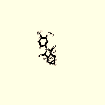 Cc1cc(N2C(=O)[C@@H]3C4CCC(C5CC54)[C@@H]3C2=O)ccc1Br